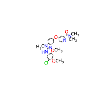 COc1cc(OC)c(Nc2nc3cc(Oc4ccnc(C(=O)N(C)C)c4)ccc3n2C)cc1Cl